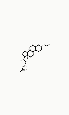 CCC[C@H]1CC[C@H]2C(CC[C@@H]3C2CC[C@@]2(C)C3CCC2[C@H](C)Cn2nnc(C)n2)C1